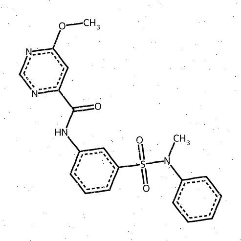 COc1cc(C(=O)Nc2cccc(S(=O)(=O)N(C)c3ccccc3)c2)ncn1